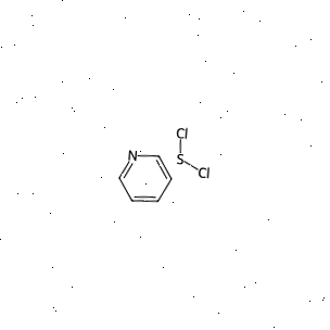 ClSCl.c1ccncc1